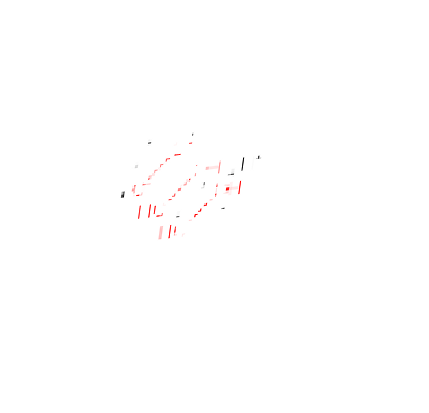 OO.OO.[H+].[H+].[O-][O-]